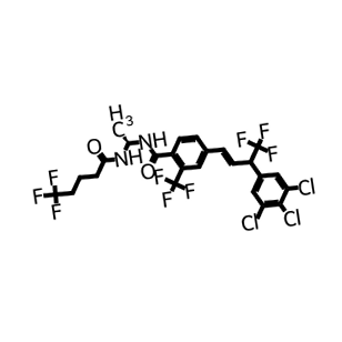 C[C@H](NC(=O)CCCC(F)(F)F)NC(=O)c1ccc(C=CC(c2cc(Cl)c(Cl)c(Cl)c2)C(F)(F)F)cc1C(F)(F)F